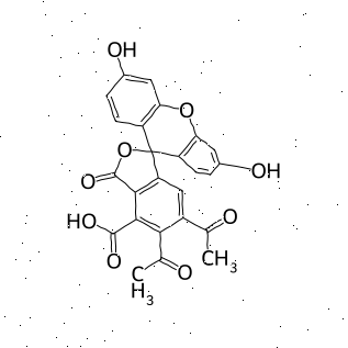 CC(=O)c1cc2c(c(C(=O)O)c1C(C)=O)C(=O)OC21c2ccc(O)cc2Oc2cc(O)ccc21